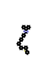 c1cc(-c2ccc(-c3ccc(-c4cnc5c6ccccc6c6ccccc6c5n4)cc3)cc2)cc(-c2cccc(-c3cccc4c3sc3ccccc34)c2)c1